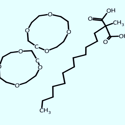 C1COCCOCCOCCO1.C1COCCOCCOCCO1.CCCCCCCCCCCCC(C)(C(=O)O)C(=O)O